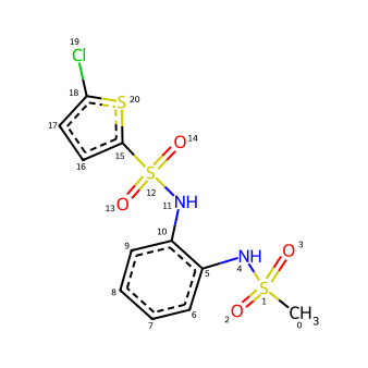 CS(=O)(=O)Nc1ccccc1NS(=O)(=O)c1ccc(Cl)s1